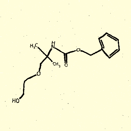 CC(C)(COCCO)NC(=O)OCc1ccccc1